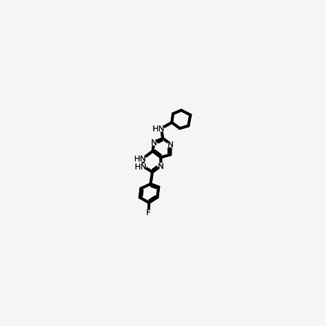 Fc1ccc(C2=Nc3cnc(NC4CCCCC4)nc3NN2)cc1